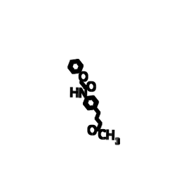 CC(=O)CCCc1ccc(NC(=O)COc2ccccc2)cc1